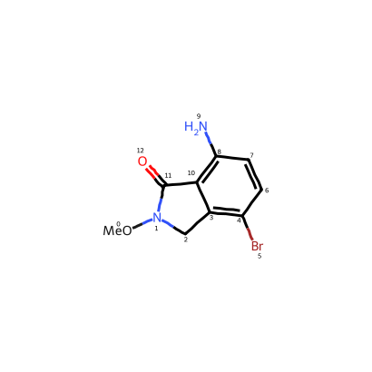 CON1Cc2c(Br)ccc(N)c2C1=O